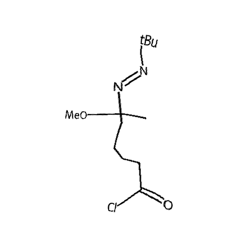 COC(C)(CCC(=O)Cl)N=NC(C)(C)C